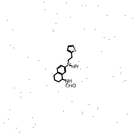 CCCN(CCc1cccs1)c1ccc2c(c1)C(NC=O)CCC2